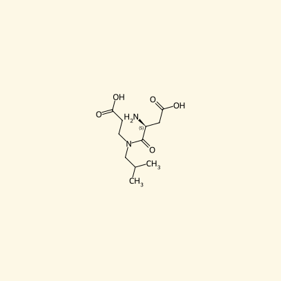 CC(C)CN(CCC(=O)O)C(=O)[C@@H](N)CC(=O)O